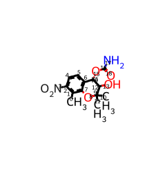 Cc1c([N+](=O)[O-])ccc2c1OC(C)(C)C(O)[C@H]2OC(N)=O